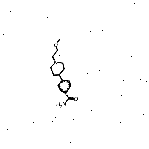 COCCN1CCC(c2ccc(C(N)=O)cc2)CC1